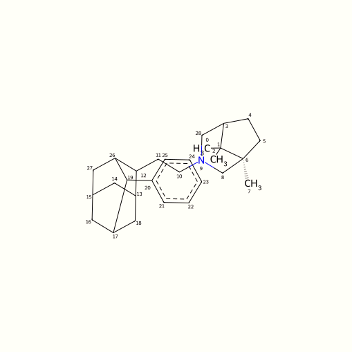 CC1(C)C2CC[C@@]1(C)CN(CCC1C3CC4CC(C3)C(c3ccccc3)C1C4)C2